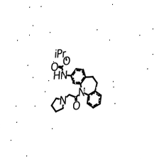 CC(C)OC(=O)Nc1ccc2c(c1)N(C(=O)CN1CCCC1)c1ccccc1CC2